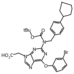 CC(C)(C)OC(=O)N(Cc1ccc(C2CCCCC2)cc1)c1nc(Oc2cccc(Br)c2)c2ncn(CC(=O)O)c2n1